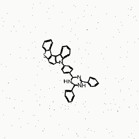 c1ccc(C2=NC(c3ccc(-n4c5ccccc5c5c6c(ccc54)sc4ccccc46)cc3)NC(c3ccccc3)N2)cc1